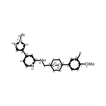 COc1ccc(C23CCC(CNc4cc(-c5cnn(C(C)C)c5)ccn4)(CC2)CC3)cc1C